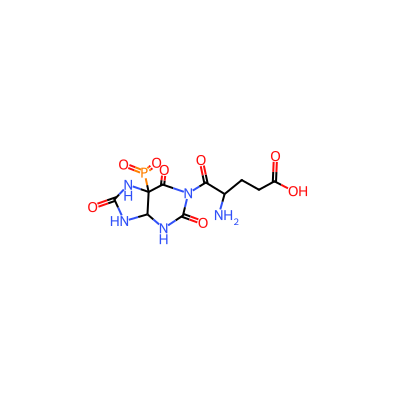 NC(CCC(=O)O)C(=O)N1C(=O)NC2NC(=O)NC2(P(=O)=O)C1=O